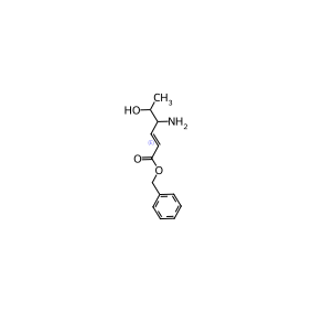 CC(O)C(N)/C=C/C(=O)OCc1ccccc1